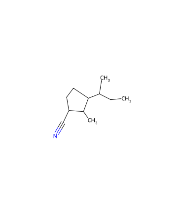 CCC(C)C1CCC(C#N)C1C